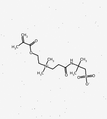 C=C(C)C(=O)OCC[N+](C)(C)CCC(=O)NC(C)(C)CS(=O)(=O)[O-]